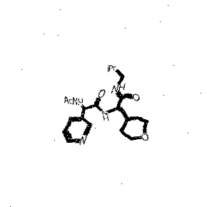 CC(=O)NC(C(=O)NC(C(=O)NCC(C)C)C1CCOCC1)c1cccnc1